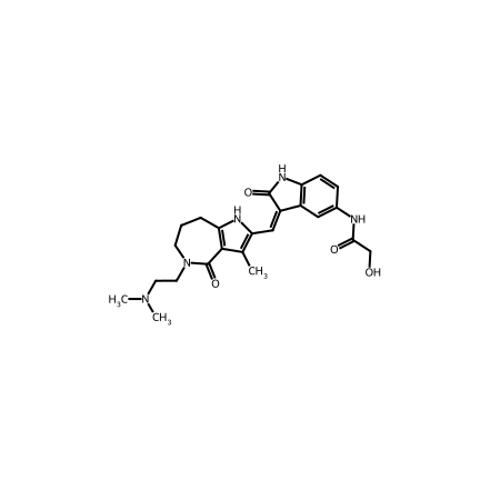 Cc1c(C=C2C(=O)Nc3ccc(NC(=O)CO)cc32)[nH]c2c1C(=O)N(CCN(C)C)CCC2